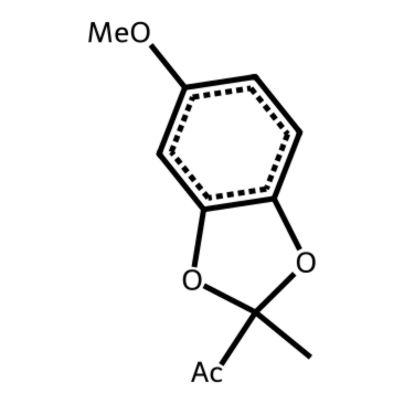 COc1ccc2c(c1)OC(C)(C(C)=O)O2